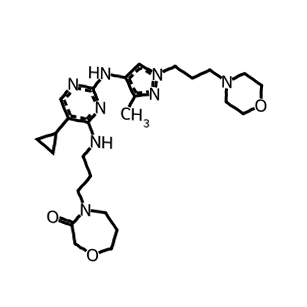 Cc1nn(CCCN2CCOCC2)cc1Nc1ncc(C2CC2)c(NCCCN2CCCOCC2=O)n1